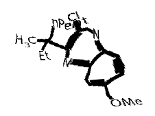 CCCCCC(C)(CC)c1nc2cc(OC)ccc2nc1Cl